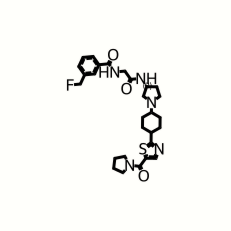 O=C(CNC(=O)c1cccc(CF)c1)N[C@@H]1CCN(C2CCC(c3ncc(C(=O)N4CCCC4)s3)CC2)C1